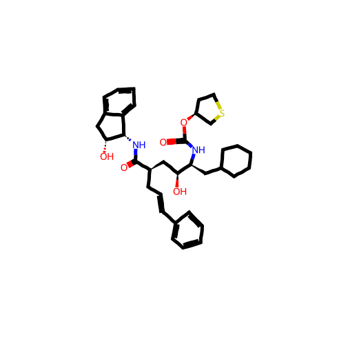 O=C(N[C@@H](CC1CCCCC1)[C@@H](O)C[C@@H](CC=Cc1ccccc1)C(=O)N[C@H]1c2ccccc2C[C@H]1O)O[C@H]1CCSC1